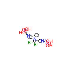 O=P(O)(O)CC[n+]1ccc(-c2c(Br)c(Br)c(-c3cc[n+](CCP(=O)(O)O)cc3)n2-c2ccccc2)cc1